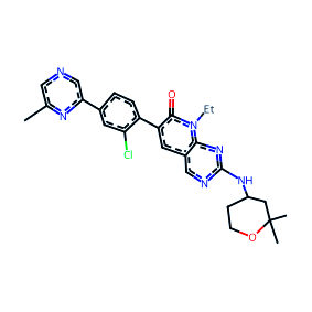 CCn1c(=O)c(-c2ccc(-c3cncc(C)n3)cc2Cl)cc2cnc(NC3CCOC(C)(C)C3)nc21